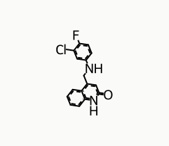 O=c1cc(CNc2ccc(F)c(Cl)c2)c2ccccc2[nH]1